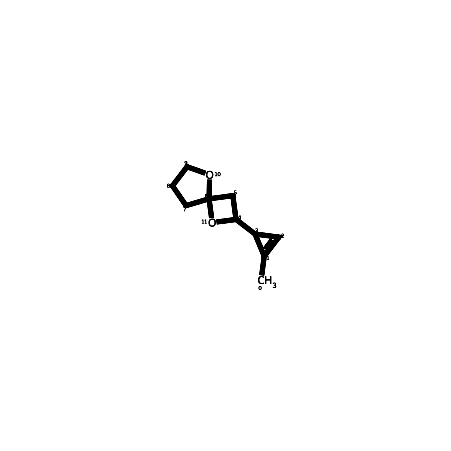 CC1=CC1C1CC2(CCCO2)O1